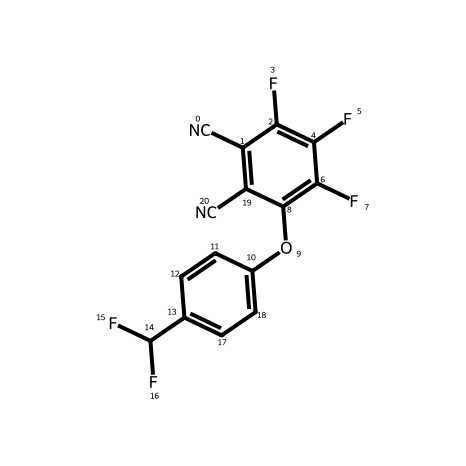 N#Cc1c(F)c(F)c(F)c(Oc2ccc(C(F)F)cc2)c1C#N